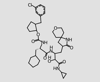 O=C(N[C@@H](CC1CCCCC1)C(=O)NC(CC1CC2(CCOCC2)NC1=O)C(O)C(=O)NC1CC1)OC1CCCC1Cc1cccc(Cl)c1